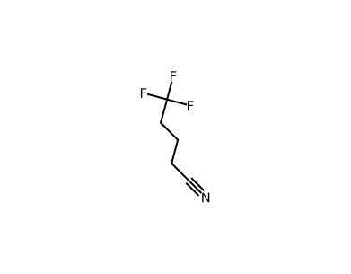 N#CCCCC(F)(F)F